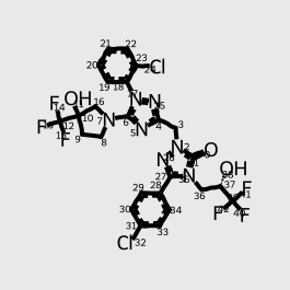 O=c1n(Cc2nc(N3CCC(O)(C(F)(F)F)C3)n(-c3ccccc3Cl)n2)nc(-c2ccc(Cl)cc2)n1C[C@H](O)C(F)(F)F